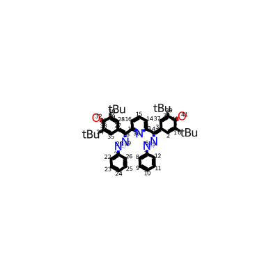 CC(C)(C)C1=CC(=C(/N=N/c2ccccc2)c2cccc(C(/N=N/c3ccccc3)=C3C=C(C(C)(C)C)C(=O)C(C(C)(C)C)=C3)n2)C=C(C(C)(C)C)C1=O